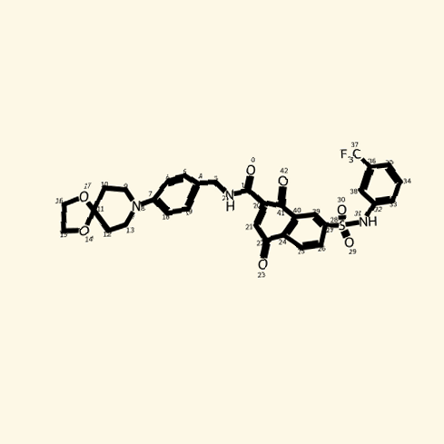 O=C(NCc1ccc(N2CCC3(CC2)OCCO3)cc1)C1=CC(=O)c2ccc(S(=O)(=O)Nc3cccc(C(F)(F)F)c3)cc2C1=O